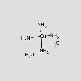 O.O.[NH2][Cu]([NH2])([NH2])[NH2]